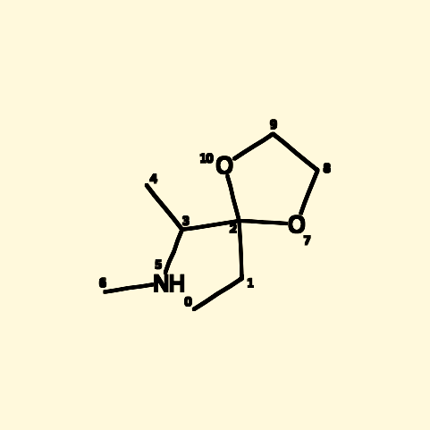 CCC1(C(C)NC)OCCO1